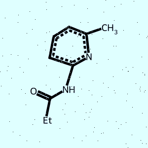 CCC(=O)Nc1cccc(C)n1